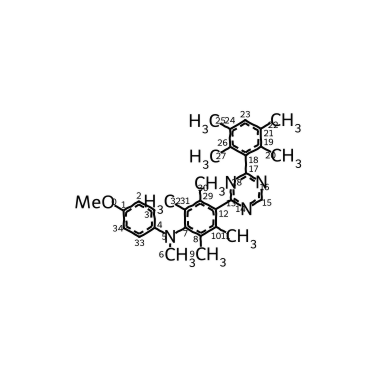 COc1ccc(N(C)c2c(C)c(C)c(-c3ncnc(-c4c(C)c(C)cc(C)c4C)n3)c(C)c2C)cc1